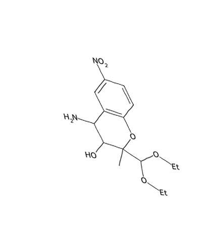 CCOC(OCC)C1(C)Oc2ccc([N+](=O)[O-])cc2C(N)C1O